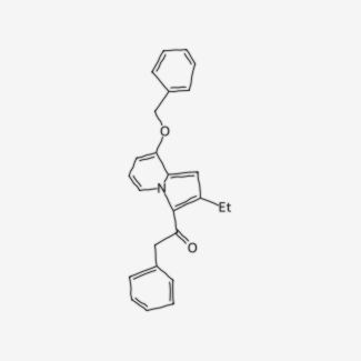 CCc1cc2c(OCc3ccccc3)cccn2c1C(=O)Cc1ccccc1